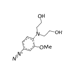 COc1cc([N+]#N)ccc1N(CCO)CCO